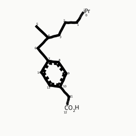 CC(C)CCCC(C)Cc1ccc(CC(=O)O)cc1